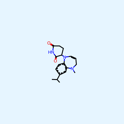 CC(C)c1ccc2c(c1)N(C)CC=CN2C1CCC(=O)NC1=O